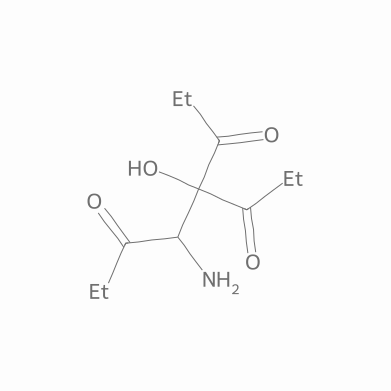 CCC(=O)C(N)C(O)(C(=O)CC)C(=O)CC